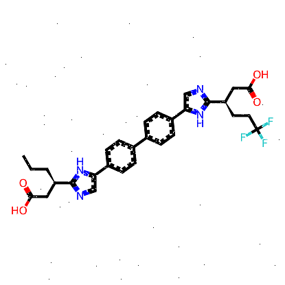 CCC[C@H](CC(=O)O)c1ncc(-c2ccc(-c3ccc(-c4cnc([C@H](CCC(F)(F)F)CC(=O)O)[nH]4)cc3)cc2)[nH]1